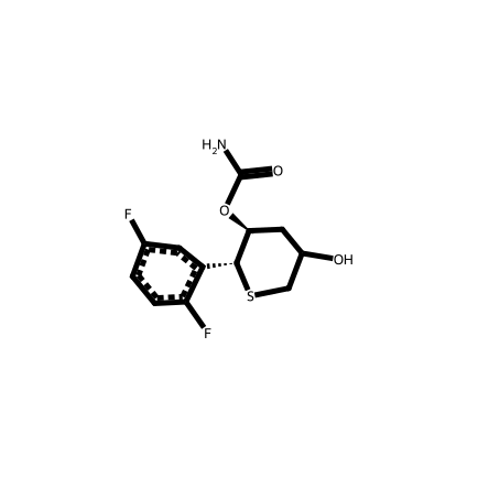 NC(=O)O[C@H]1CC(O)CS[C@@H]1c1cc(F)ccc1F